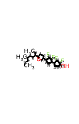 CCCC(C)CCC(CC)C1CCC(c2ccc(-c3ccc(O)c(F)c3F)c(F)c2F)CO1